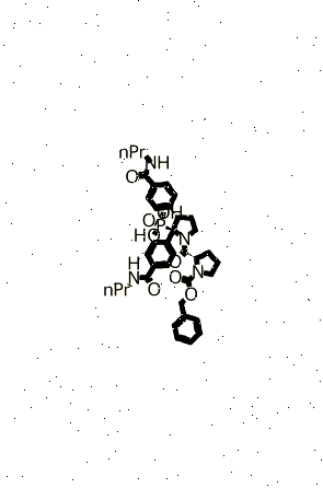 CCCNC(=O)c1ccc([C@@H]2CCN(C(=O)[C@@H]3CCCN3C(=O)OCc3ccccc3)[C@@]2(c2ccc(C(=O)NCCC)cc2)P(=O)(O)O)cc1